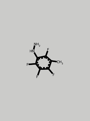 Cc1c(F)c(F)c(F)c(NN)c1F